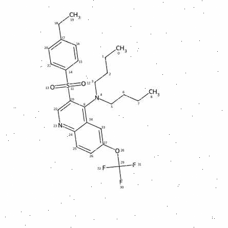 CCCCN(CCCC)c1c(S(=O)(=O)c2ccc(CC)cc2)cnc2ccc(OC(F)(F)F)cc12